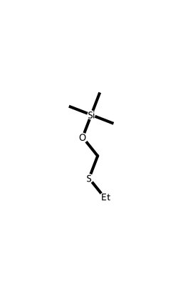 CCSCO[Si](C)(C)C